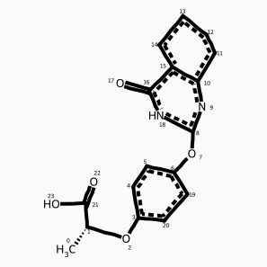 C[C@@H](Oc1ccc(Oc2nc3ccccc3c(=O)[nH]2)cc1)C(=O)O